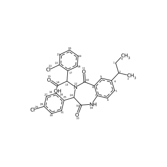 CCC(C)c1ccc2c(c1)C(=O)N(C(C(=O)O)c1ccccc1Cl)C(c1ccc(Cl)cc1)C(=O)N2